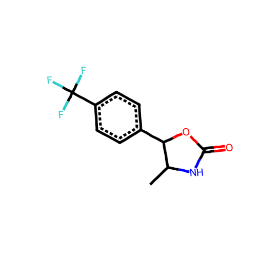 CC1NC(=O)OC1c1ccc(C(F)(F)F)cc1